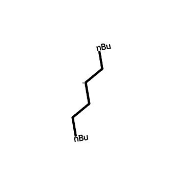 C[CH]CCC[CH]CCCCCC